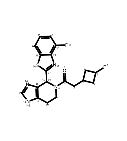 O=C(CC1CC(F)C1)N1CCc2[nH]cnc2[C@H]1c1nc2c(F)cccc2s1